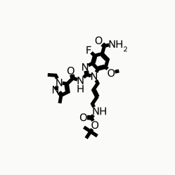 CCn1nc(C)cc1C(=O)Nc1nc2c(F)c(C(N)=O)cc(OC)c2n1C/C=C/CNC(=O)OC(C)(C)C